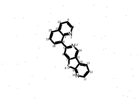 c1cnc2c(-c3cc4sc5ncccc5c4cn3)cccc2c1